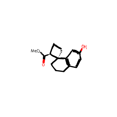 COC(=O)[C@H]1CC[C@]12CCCc1ccc(O)cc12